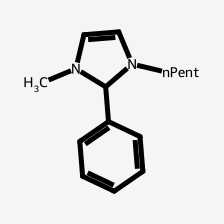 CCCCCN1C=CN(C)C1c1ccccc1